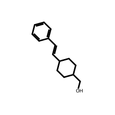 OCC1CCC(C=Cc2ccccc2)CC1